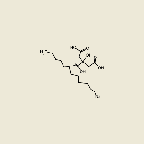 CCCCCCCCCCC[CH2][Na].O=C(O)CC(O)(CC(=O)O)C(=O)O